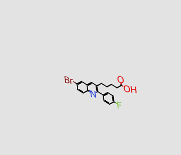 O=C(O)CCCCc1cc2cc(Br)ccc2nc1-c1ccc(F)cc1